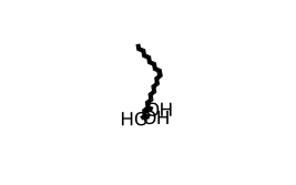 CCCCCCCC/C=C\CCCCCCCC(O)=CC(O)O